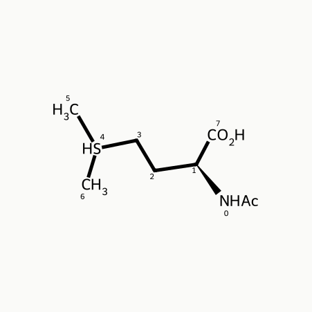 CC(=O)N[C@@H](CC[SH](C)C)C(=O)O